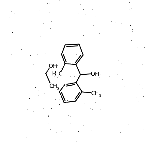 CCO.Cc1ccccc1C(O)c1ccccc1C